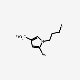 CCOC(=O)c1cc(C(C)=O)n(CCCBr)c1